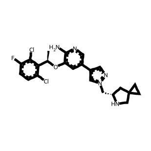 C[C@@H](Oc1cc(-c2cnn(C[C@@H]3CC4(CC4)CN3)c2)cnc1N)c1c(Cl)ccc(F)c1Cl